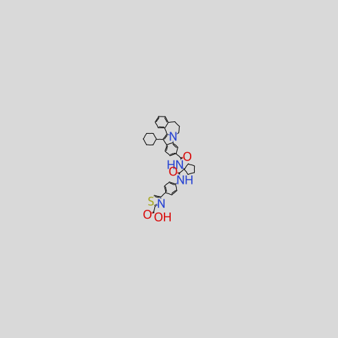 O=C(NC1(C(=O)Nc2ccc(-c3csc(C(=O)O)n3)cc2)CCCC1)c1ccc2c(C3CCCCC3)c3n(c2c1)CCCc1ccccc1-3